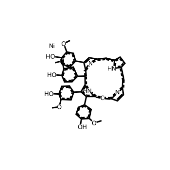 COc1cc(C2=Cc3cc4ccc(cc5nc(cc6[nH]c(c(-c7ccc(O)c(OC)c7)c2n3)c(-c2ccc(O)c(OC)c2)c6-c2ccc(O)c(OC)c2)C=C5)[nH]4)ccc1O.[Ni]